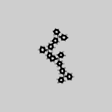 c1ccc(N(c2ccccc2)c2ccc(-c3ccc(N(c4ccccc4)c4ccc5ccc(N(c6ccccc6)c6ccc(-c7ccc(N(c8ccccc8)c8ccccc8)cc7)cc6)cc5c4)cc3)cc2)cc1